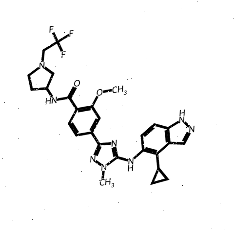 COc1cc(-c2nc(Nc3ccc4[nH]ncc4c3C3CC3)n(C)n2)ccc1C(=O)NC1CCN(CC(F)(F)F)C1